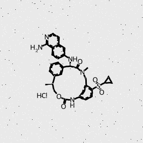 C[C@@H]1COC(=O)Nc2ccc(S(=O)(=O)C3CC3)c(c2)CN(C)C(=O)[C@H](Nc2ccc3c(N)nccc3c2)c2cccc1c2.Cl